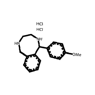 COc1ccc(C2NCCNCc3ccccc32)cc1.Cl.Cl